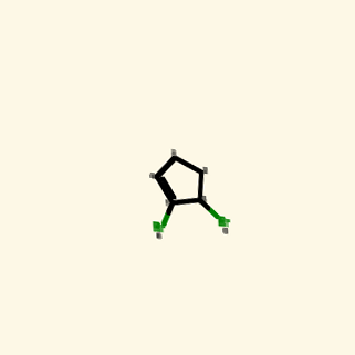 Br[C]1CCC=C1Br